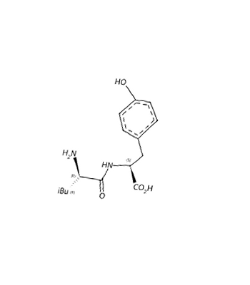 CC[C@@H](C)[C@@H](N)C(=O)N[C@@H](Cc1ccc(O)cc1)C(=O)O